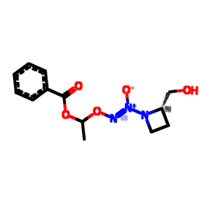 CC(O/N=[N+](\[O-])N1CC[C@H]1CO)OC(=O)c1ccccc1